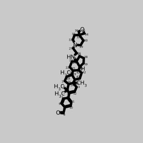 CC1(C)C(c2ccc(C=O)cc2)=CCC2(C)C1CCC1(C)C3CCC4(NCCN5CCC6(CC5)COC6)CCC[C@@H]4C3CCC12